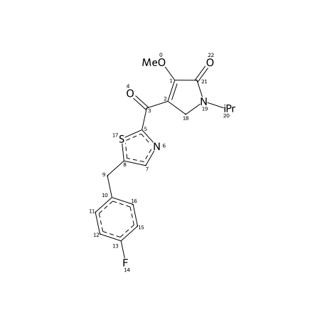 COC1=C(C(=O)c2ncc(Cc3ccc(F)cc3)s2)CN(C(C)C)C1=O